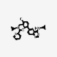 O=C(c1ccccn1)N(Cc1cc(-c2ccc3ncnc(NC4CC4)c3c2)ccc1F)C1CC1